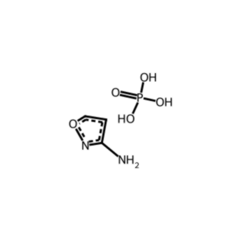 Nc1ccon1.O=P(O)(O)O